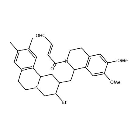 CCC1CN2CCc3cc(C)c(C)cc3C2CC1CC1c2cc(OC)c(OC)cc2CCN1C(=O)/C=C/C=O